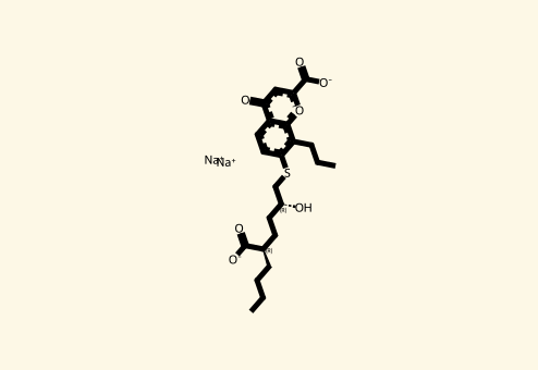 CCCC[C@H](CC[C@@H](O)CSc1ccc2c(=O)cc(C(=O)[O-])oc2c1CCC)C(=O)[O-].[Na+].[Na+]